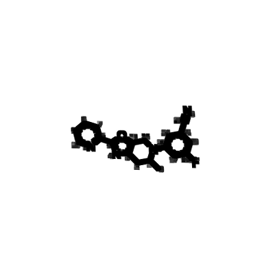 CC1Cc2nc(-c3ccccn3)oc2CN1c1cc(F)cc(C#N)c1